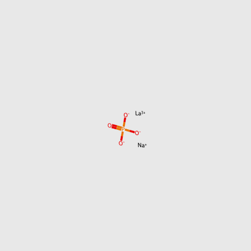 O=P([O-])([O-])[O-].[La+3].[Na+]